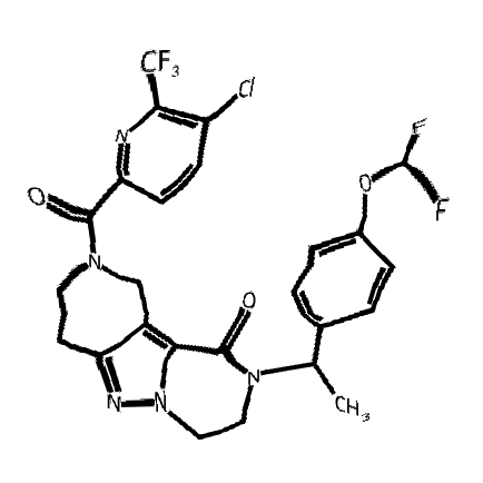 CC(c1ccc(OC(F)F)cc1)N1CCn2nc3c(c2C1=O)CN(C(=O)c1ccc(Cl)c(C(F)(F)F)n1)CC3